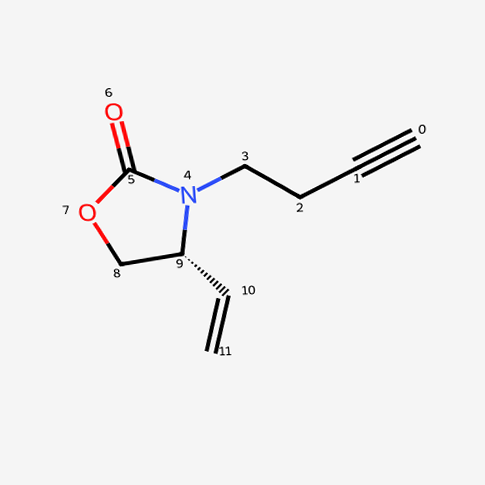 C#CCCN1C(=O)OC[C@H]1C=C